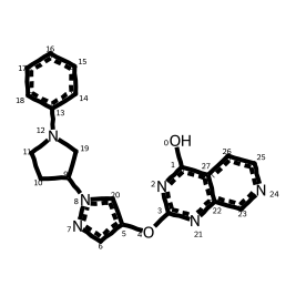 Oc1nc(Oc2cnn(C3CCN(c4ccccc4)C3)c2)nc2cnccc12